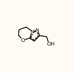 OCc1cc2n(n1)CCCO2